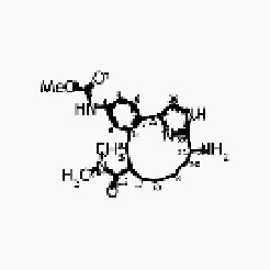 COC(=O)Nc1ccc2c(c1)CC(C(=O)N(C)C)CCCCC(N)c1nc-2c[nH]1